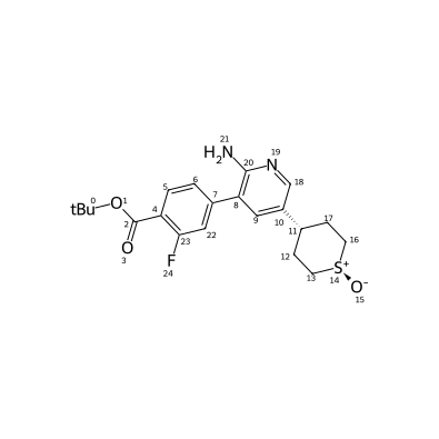 CC(C)(C)OC(=O)c1ccc(-c2cc([C@H]3CC[S@+]([O-])CC3)cnc2N)cc1F